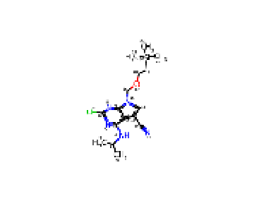 CC(C)Nc1nc(Cl)nc2c1c(C#N)cn2COCC[Si](C)(C)C